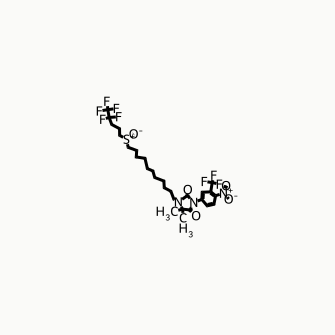 CC1(C)C(=O)N(c2ccc([N+](=O)[O-])c(C(F)(F)F)c2)C(=O)N1CCCCCCCCCCC[S+]([O-])CCCC(F)(F)C(F)(F)F